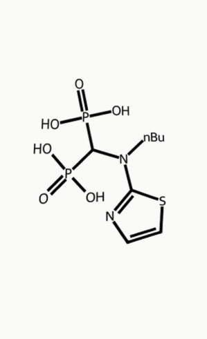 CCCCN(c1nccs1)C(P(=O)(O)O)P(=O)(O)O